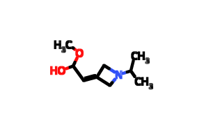 COC(O)C=C1CN(C(C)C)C1